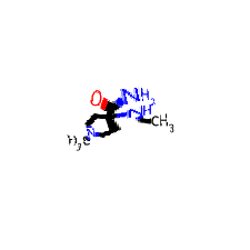 CCNC1(C(N)=O)CCN(C)CC1